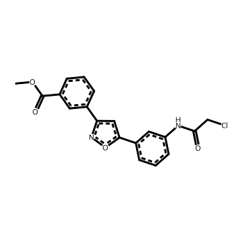 COC(=O)c1cccc(-c2cc(-c3cccc(NC(=O)CCl)c3)on2)c1